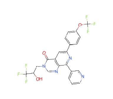 O=c1c2cc(-c3ccc(OC(F)(F)F)cc3)nc(-c3cccnc3)c2ncn1CC(O)C(F)(F)F